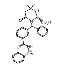 C[C@H](NC(=O)c1cccc(C(c2ccccc2)N2C(=O)CC(C)(C)N/C2=N/C(=O)O)c1)c1ccccc1